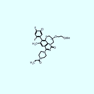 C=CC(=O)N1CCN(c2nc(=O)n3c4c(c(-c5cc(Cl)c(F)cc5F)c(C)cc24)SC[C@@H](OCCOC)C3)CC1